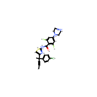 CC#CC(C)(c1ccc(Cl)cc1)c1csc(NC(=O)c2c(F)cc(N3CCNCC3)cc2F)n1